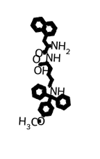 COc1ccc(C(NCCCCC(NC(=O)C(N)Cc2cccc3ccccc23)C(=O)O)(c2ccccc2)c2ccccc2)cc1